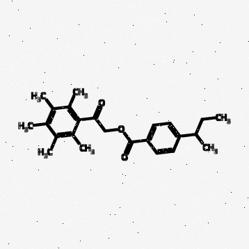 CCC(C)c1ccc(C(=O)OCC(=O)c2c(C)c(C)c(C)c(C)c2C)cc1